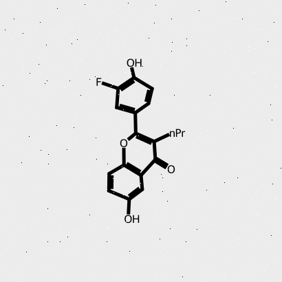 CCCc1c(-c2ccc(O)c(F)c2)oc2ccc(O)cc2c1=O